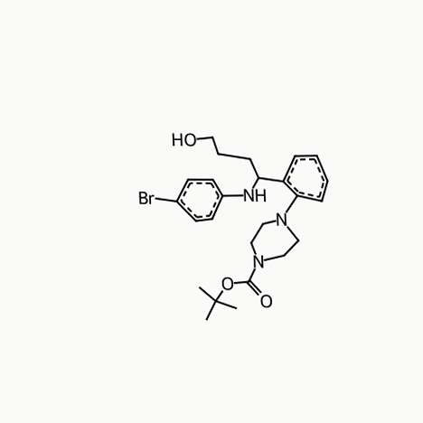 CC(C)(C)OC(=O)N1CCN(c2ccccc2C(CCCO)Nc2ccc(Br)cc2)CC1